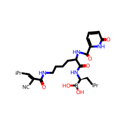 CC(C)C=C(C#N)C(=O)NCCCCC(NC(=O)c1cccc(=O)[nH]1)C(=O)N[C@@H](CC(C)C)B(O)O